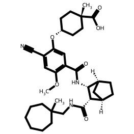 COc1cc(C#N)c(O[C@H]2CC[C@@](C)(C(=O)O)CC2)cc1C(=O)N[C@@H]1[C@H]2CC[C@H](C2)[C@@H]1C(=O)NCC1(C)CCCCCC1